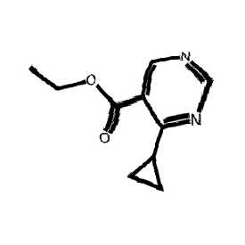 CCOC(=O)c1cncnc1C1CC1